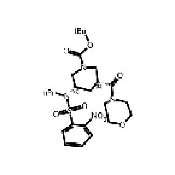 CCCN([C@H]1C[C@@H](C(=O)N2CCOCC2)CN(C(=O)OC(C)(C)C)C1)S(=O)(=O)c1ccccc1[N+](=O)[O-]